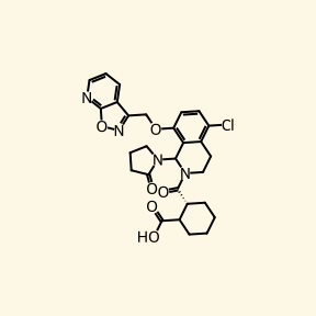 O=C(O)C1CCCC[C@H]1C(=O)N1CCc2c(Cl)ccc(OCc3noc4ncccc34)c2C1N1CCCC1=O